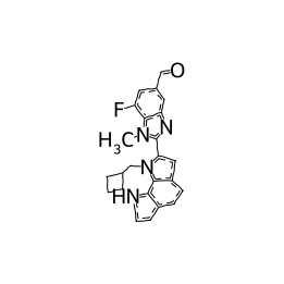 Cn1c(-c2cc3ccc4cc[nH]c4c3n2CC2CCC2)nc2cc(C=O)cc(F)c21